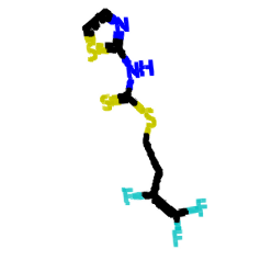 FC(F)=C(F)CCSC(=S)Nc1nccs1